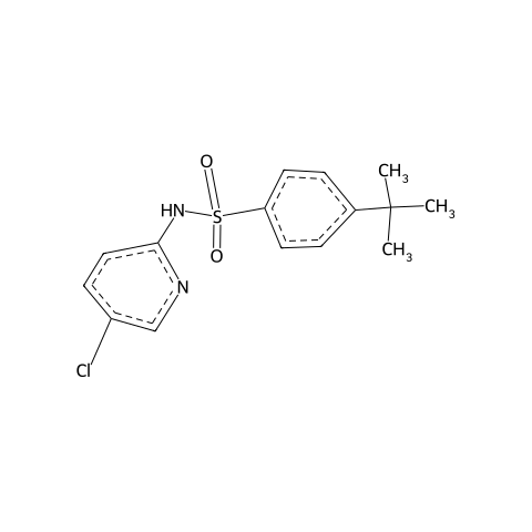 CC(C)(C)c1ccc(S(=O)(=O)Nc2ccc(Cl)cn2)cc1